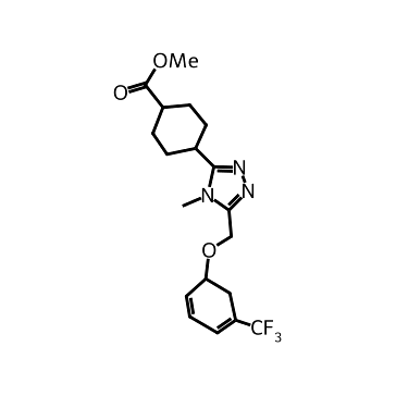 COC(=O)C1CCC(c2nnc(COC3C=CC=C(C(F)(F)F)C3)n2C)CC1